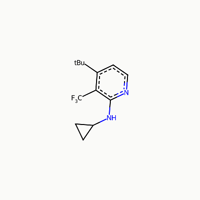 CC(C)(C)c1ccnc(NC2CC2)c1C(F)(F)F